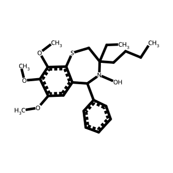 CCCCC1(CC)CSc2c(cc(OC)c(OC)c2OC)C(c2ccccc2)N1O